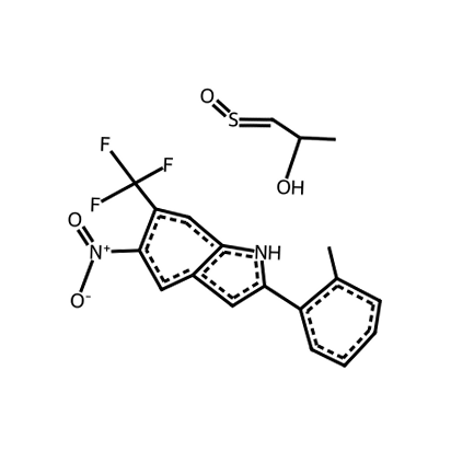 CC(O)C=S=O.Cc1ccccc1-c1cc2cc([N+](=O)[O-])c(C(F)(F)F)cc2[nH]1